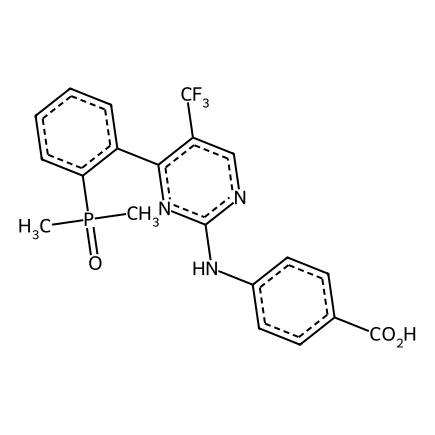 CP(C)(=O)c1ccccc1-c1nc(Nc2ccc(C(=O)O)cc2)ncc1C(F)(F)F